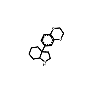 c1cc2c(cc1C13CCCCC1NCC3)OCCO2